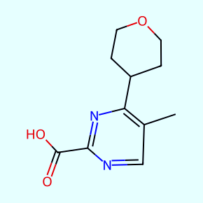 Cc1cnc(C(=O)O)nc1C1CCOCC1